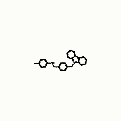 Cc1ccc(NCc2ccc(Cn3c4ccccc4c4ccccc43)cc2)cc1